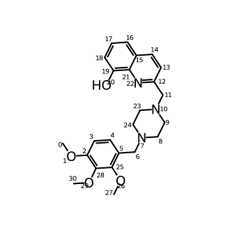 COc1ccc(CN2CCN(Cc3ccc4cccc(O)c4n3)CC2)c(OC)c1OC